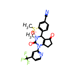 CN1C(=O)N(c2cc(C(F)(F)F)ccn2)C2=C(C(=O)CC2)C1c1ccc(C#N)cc1[S+](C)[O-]